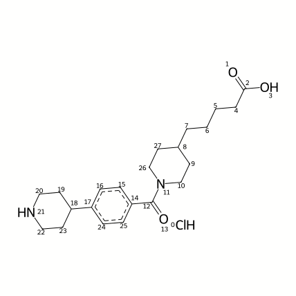 Cl.O=C(O)CCCCC1CCN(C(=O)c2ccc(C3CCNCC3)cc2)CC1